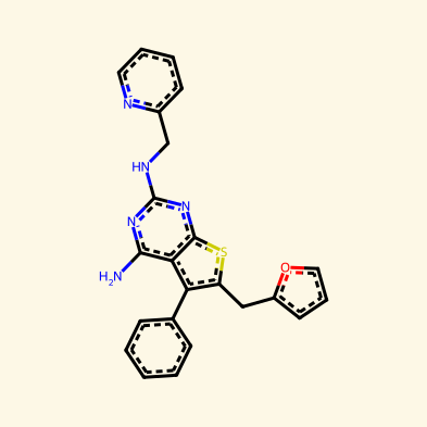 Nc1nc(NCc2ccccn2)nc2sc(Cc3ccco3)c(-c3ccccc3)c12